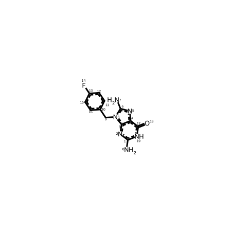 Nc1nc2c(nc(N)n2Cc2ccc(F)cc2)c(=O)[nH]1